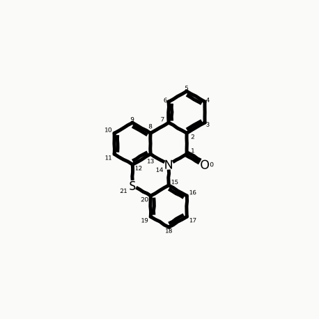 O=c1c2ccccc2c2cccc3c2n1-c1ccccc1S3